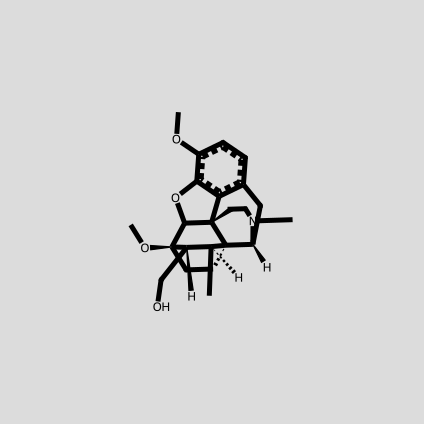 COc1ccc2c3c1OC1[C@@]4(OC)CC[C@@]5([C@@H](C)[C@@H]4CO)[C@@H](C2)N(C)CC[C@]315